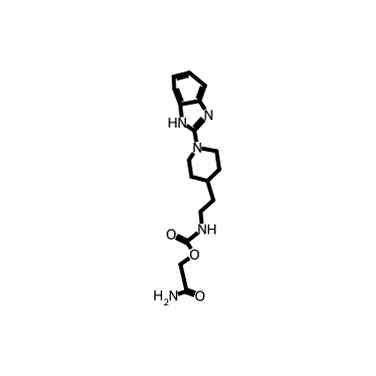 NC(=O)COC(=O)NCCC1CCN(c2nc3ccccc3[nH]2)CC1